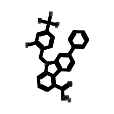 NC(=O)c1cccc2c1c1[c]cc(-c3ccccc3)cc1n2Cc1ccc(C(F)(F)F)cc1F